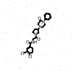 O=C(NCC(=O)N1CCC(N2CCN(c3ccccc3)C(=O)C2)C1)C1=CC(Cl)=C(Cl)CC1